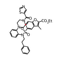 CCOC(=O)c1oc2ccc(S(=O)(=O)N(CCc3ccccc3)c3ccccc3N3CCN(C(=O)c4cncs4)CC3)cc2c1C